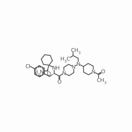 CC(=O)N1CCC(N(CC(C)C)N2CCN(C(=O)[C@@H](Cc3ccc(Cl)cc3)NC3(C(N)=O)CCCCC3)CC2)CC1